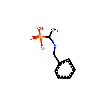 CC(NCc1ccccc1)P(=O)(O)O